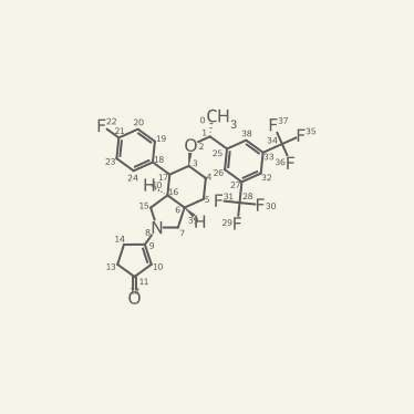 C[C@@H](O[C@H]1CC[C@@H]2CN(C3=CC(=O)CC3)C[C@H]2C1c1ccc(F)cc1)c1cc(C(F)(F)F)cc(C(F)(F)F)c1